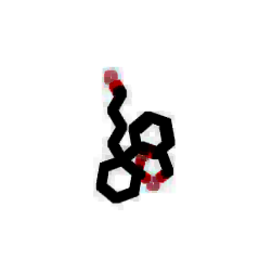 O=CCCCC1(c2ccccc2)CCCCC12OCCO2